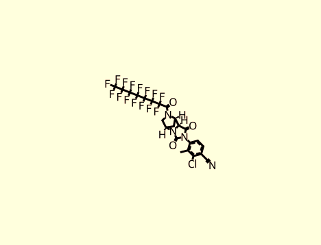 Cc1c(N2C(=O)[C@@H]3[C@@H]4C[C@@H](CN4C(=O)C(F)(F)C(F)(F)C(F)(F)C(F)(F)C(F)(F)C(F)(F)C(F)(F)F)N3C2=O)ccc(C#N)c1Cl